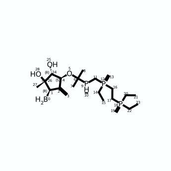 B[C@@H]1C(=C)[C@H](OC(C)(C)[PH](=C)CP(=C)(CC)CCP(=C)(CC)CC)[C@@H](O)[C@@]1(C)O